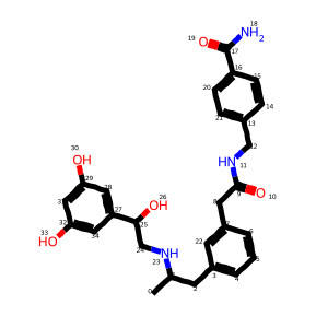 CC(Cc1cccc(CC(=O)NCc2ccc(C(N)=O)cc2)c1)NCC(O)c1cc(O)cc(O)c1